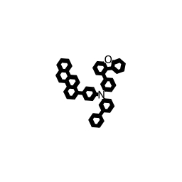 c1ccc(-c2cccc(N(c3ccc(-c4cccc5c4ccc4c6ccccc6ccc54)cc3)c3cccc(-c4cccc5oc6ccccc6c45)c3)c2)cc1